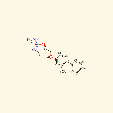 CCc1cc(OCC2CN=C(N)O2)ccc1-c1ccccc1